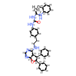 C=C(NC(=O)Nc1ccc(CCNc2ncnc3oc(-c4ccccc4)c(-c4ccccc4)c23)cc1)Nc1ccccc1C